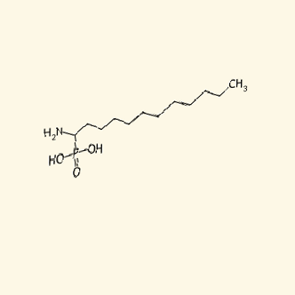 CCCCCCCCCCCC(N)P(=O)(O)O